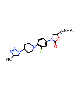 CC(=O)NCC1CN(c2ccc(N3CCC(n4cc(C#N)nn4)CC3)c(F)c2)C(=O)O1